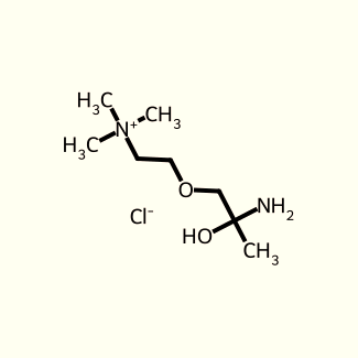 CC(N)(O)COCC[N+](C)(C)C.[Cl-]